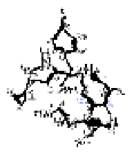 BC(NC/C=c1/c(NCC(C)(C)C)c(C#N)cn/c1=C(\C)C#C)(C1=CN(C2CC2)NN1)c1ccc(F)cc1